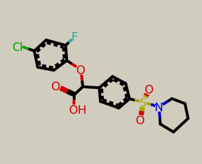 O=C(O)C(Oc1ccc(Cl)cc1F)c1ccc(S(=O)(=O)N2CCCCC2)cc1